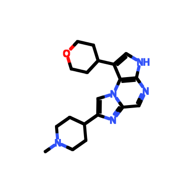 CN1CCC(c2cn3c(cnc4[nH]cc(C5CCOCC5)c43)n2)CC1